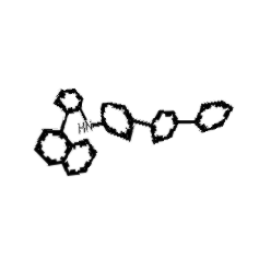 c1ccc(-c2ccc(-c3ccc(Nc4ccccc4-c4cccc5ccccc45)cc3)cc2)cc1